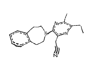 CCc1nc(C#N)c(N2CCc3ccccc3CC2)nc1C